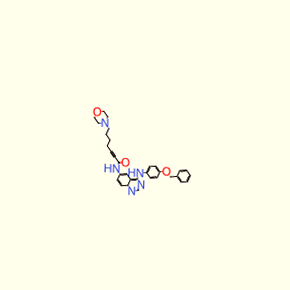 O=C(C#CCCCCN1CCOCC1)Nc1ccc2ncnc(Nc3ccc(OCc4ccccc4)cc3)c2c1